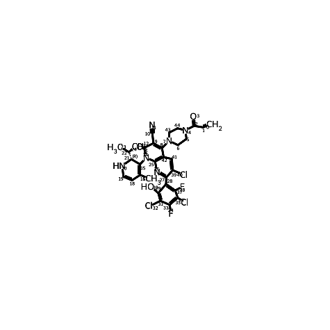 C=CC(=O)N1CCN(c2c(C#N)c(=O)n(C3=C(C)C=CN[C@@H]3C(C)C)c3nc(-c4c(O)c(Cl)c(F)c(Cl)c4F)c(Cl)cc23)CC1